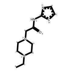 CCN1CCN(CC(=O)Nc2nccs2)CC1